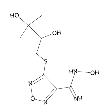 CC(C)(O)C(O)CSc1nonc1C(=N)NO